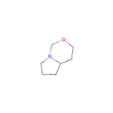 C1CC2CCOCN2C1